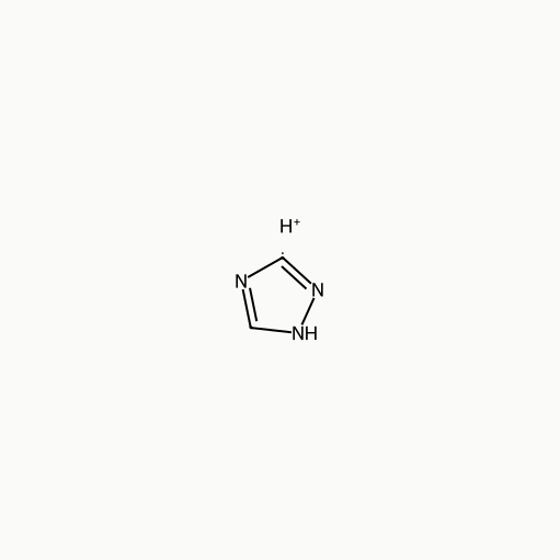 [H+].[c]1nc[nH]n1